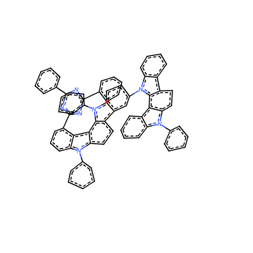 c1ccc(-c2nc(-c3ccccc3)nc(-c3cccc4c3c3c(ccc5c6cc(-n7c8ccccc8c8ccc9c(c%10ccccc%10n9-c9ccccc9)c87)ccc6n(-c6ccccc6)c53)n4-c3ccccc3)n2)cc1